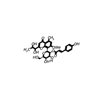 COc1cc(C)c2c(=O)cc(C(O)C(C)O)oc2c1[C@@H]1O[C@H](CO)[C@H](O)[C@H](O)[C@@H]1OC(=O)/C=C/c1ccc(O)cc1